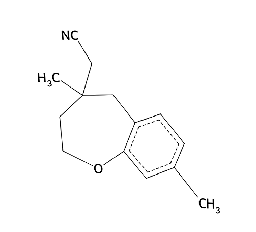 Cc1ccc2c(c1)OCCC(C)(CC#N)C2